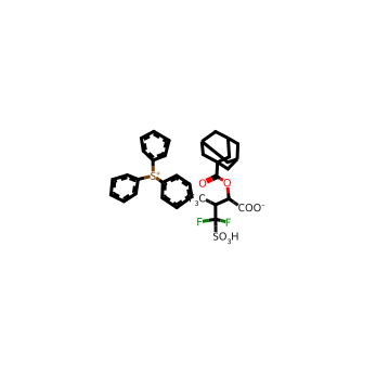 O=C([O-])C(OC(=O)C12CC3CC(CC(C3)C1)C2)C(C(F)(F)F)C(F)(F)S(=O)(=O)O.c1ccc([S+](c2ccccc2)c2ccccc2)cc1